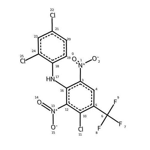 O=[N+]([O-])c1cc(C(F)(F)F)c(Cl)c([N+](=O)[O-])c1Nc1ccc(Cl)cc1Cl